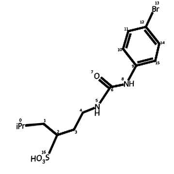 CC(C)CC(CCNC(=O)Nc1ccc(Br)cc1)S(=O)(=O)O